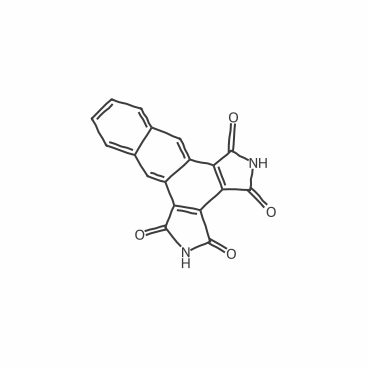 O=c1[nH]c(=O)c2c1c1cc3ccccc3cc1c1c(=O)[nH]c(=O)c12